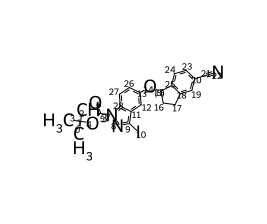 CC(C)(C)OC(=O)n1nc(I)c2cc(O[C@H]3CCc4cc(C#N)ccc43)ccc21